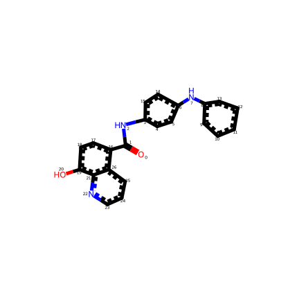 O=C(Nc1ccc(Nc2ccccc2)cc1)c1ccc(O)c2ncccc12